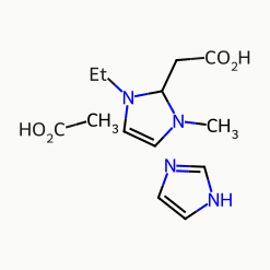 CC(=O)O.CCN1C=CN(C)C1CC(=O)O.c1c[nH]cn1